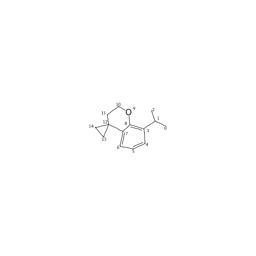 CC(C)c1cccc2c1OCCC21CC1